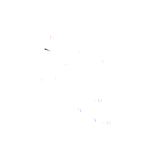 Cc1n(CCCCOC(=O)[C@](O)(c2ccccc2)[C@@H]2CCCC(F)(F)C2)cc[n+]1C.[Br-]